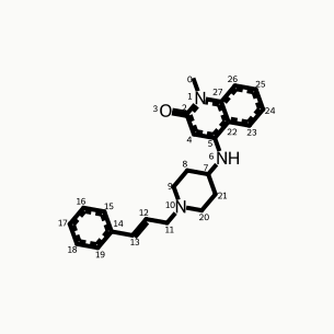 Cn1c(=O)cc(NC2CCN(CC=Cc3ccccc3)CC2)c2ccccc21